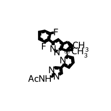 CC(=O)Nc1ncc(-c2cccc([C@@]34CCC(c5cc(-c6c(F)cccc6F)nnc53)C4(C)C)n2)cn1